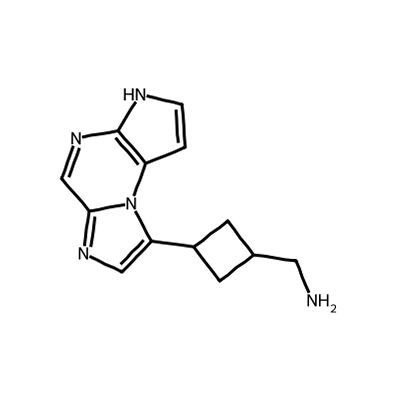 NCC1CC(c2cnc3cnc4[nH]ccc4n23)C1